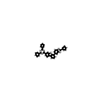 c1ccc(-c2nc(-c3ccccc3)nc(-c3ccc4c(c3)sc3c(-c5ccc6nc(-c7ccccc7)oc6c5)cccc34)n2)cc1